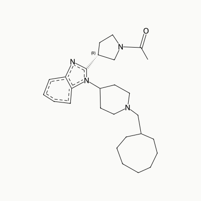 CC(=O)N1CC[C@@H](c2nc3ccccc3n2C2CCN(CC3CCCCCCC3)CC2)C1